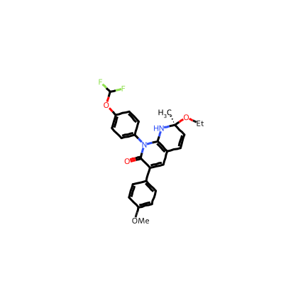 CCO[C@@]1(C)C=Cc2cc(-c3ccc(OC)cc3)c(=O)n(-c3ccc(OC(F)F)cc3)c2N1